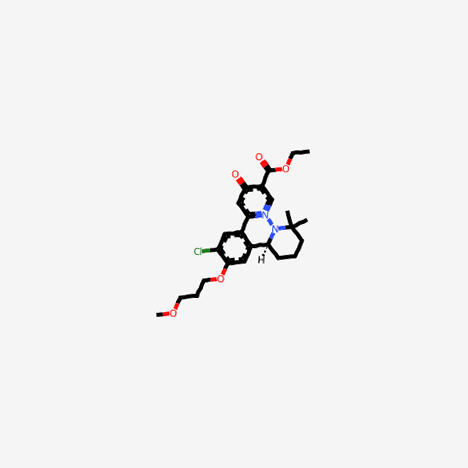 CCOC(=O)c1cn2c(cc1=O)-c1cc(Cl)c(OCCCOC)cc1[C@@H]1CCCC(C)(C)N12